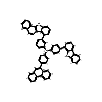 c1cc(-c2cccc3oc4c5ccccc5ccc4c23)cc(N(c2ccc(-c3cc4ccccc4c4ccccc34)cc2)c2ccc(-c3cccc4c3sc3ccccc34)cc2)c1